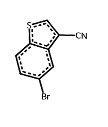 N#Cc1csc2ccc(Br)cc12